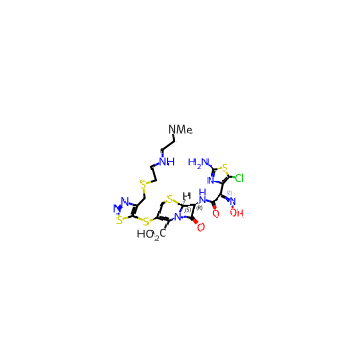 CNCCNCCSCc1nnsc1SC1=C(C(=O)O)N2C(=O)[C@@H](NC(=O)/C(=N\O)c3nc(N)sc3Cl)[C@@H]2SC1